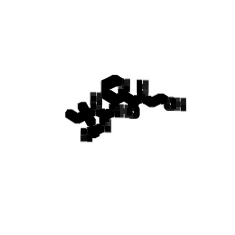 CCC(C)(C)N/C(=N\C#N)Nc1cccnc1C(=O)NCCO